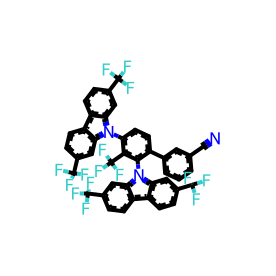 N#Cc1cccc(-c2ccc(-n3c4cc(C(F)(F)F)ccc4c4ccc(C(F)(F)F)cc43)c(C(F)(F)F)c2-n2c3cc(C(F)(F)F)ccc3c3ccc(C(F)(F)F)cc32)c1